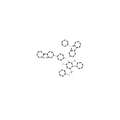 CCc1ccccc1-c1c(CC)c(N(c2ccc(-c3ccc4c(c3)sc3ccccc34)cc2)c2ccc3c4ccccc4n(-c4ccccc4)c3c2)c2c(c1C(C)(C)C)-c1ccccc1C2(C)C